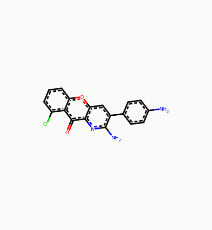 Nc1ccc(-c2cc3oc4cccc(Cl)c4c(=O)c3nc2N)cc1